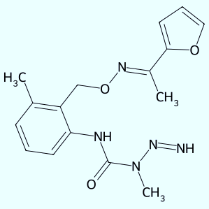 C/C(=N\OCc1c(C)cccc1NC(=O)N(C)N=N)c1ccco1